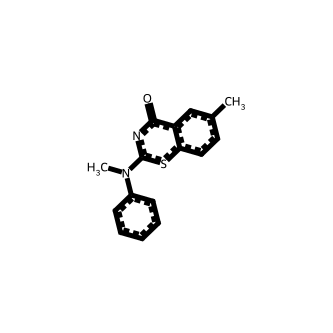 Cc1ccc2sc(N(C)c3ccccc3)nc(=O)c2c1